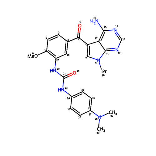 COc1ccc(C(=O)c2cn(C(C)C)c3ncnc(N)c23)cc1NC(=O)Nc1ccc(N(C)C)cc1